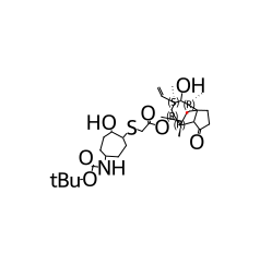 C=C[C@]1(C)C[C@@H](OC(=O)CSC2CCC(NC(=O)OC(C)(C)C)CCC2O)[C@]2(C)C(C)CCC3(CCC(=O)C32)[C@@H](C)C1O